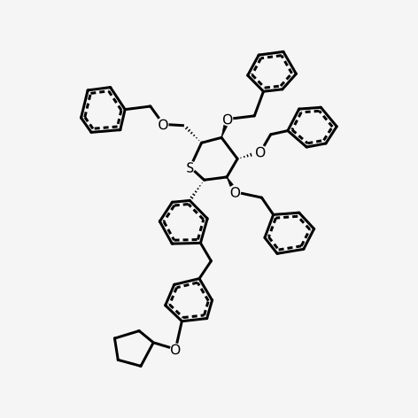 c1ccc(COC[C@H]2S[C@@H](c3cccc(Cc4ccc(OC5CCCC5)cc4)c3)[C@H](OCc3ccccc3)[C@@H](OCc3ccccc3)[C@@H]2OCc2ccccc2)cc1